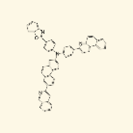 c1ccc2cc(-c3ccc4c(ccc5cc(N(c6ccc(-c7ccc8c(ccc9ccccc98)n7)cc6)c6ccc(-c7nc8ccccc8o7)cc6)ccc54)c3)ncc2c1